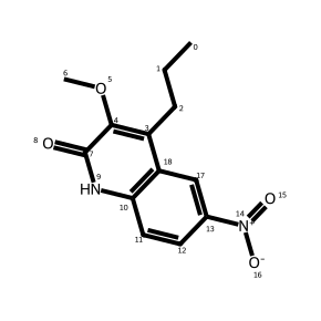 CCCc1c(OC)c(=O)[nH]c2ccc([N+](=O)[O-])cc12